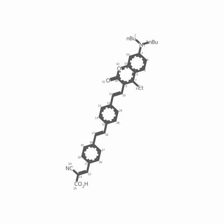 CCCCN(CCCC)c1ccc2c(CC)c(/C=C/c3ccc(/C=C/c4ccc(/C=C(\C#N)C(=O)O)cc4)cc3)c(=O)oc2c1